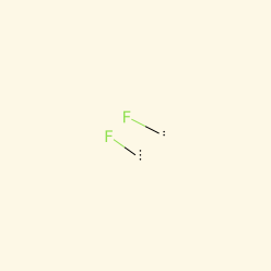 [CH]F.[C]F